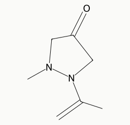 C=C(C)N1CC(=O)CN1C